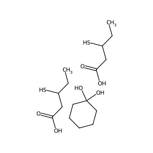 CCC(S)CC(=O)O.CCC(S)CC(=O)O.OC1(O)CCCCC1